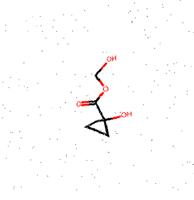 O=C(OCO)C1(O)CC1